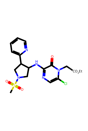 CCOC(=O)Cn1c(Cl)cnc(NC2CN(S(C)(=O)=O)CC2c2ccccn2)c1=O